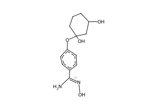 N/C(=N\O)c1ccc(OC2(O)CCCC(O)C2)cc1